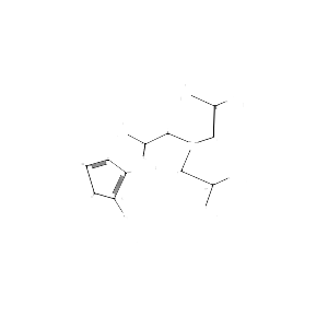 CC(C)CP(CC(C)C)CC(C)C.[Cl-].[Ni+][C]1=CC=CC1